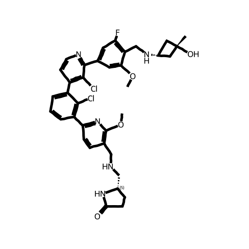 COc1cc(-c2nccc(-c3cccc(-c4ccc(CNC[C@@H]5CCC(=O)N5)c(OC)n4)c3Cl)c2Cl)cc(F)c1CN[C@H]1C[C@@](C)(O)C1